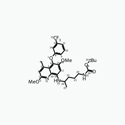 COc1cc(C)c2c(Oc3cccc(C(F)(F)F)c3)c(OC)cc(NC(C)CCCNC(=O)OC(C)(C)C)c2n1